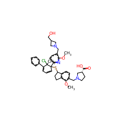 COc1nc(C2(SC3CCc4c3ccc(CN3CC[C@@H](C(=O)O)C3)c4OC)C=CC=C(c3ccccc3)C2(C)Cl)ccc1CN1CC(CO)C1